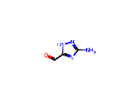 Nc1n[nH]c(C=O)n1